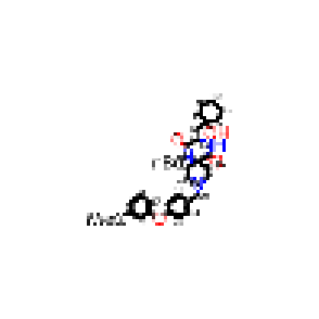 CCCCN1C(=O)[C@@H](CC2(O)CCCCC2)NC(=O)C12CCN(Cc1ccc(Oc3cccc(OC)c3)cc1)CC2